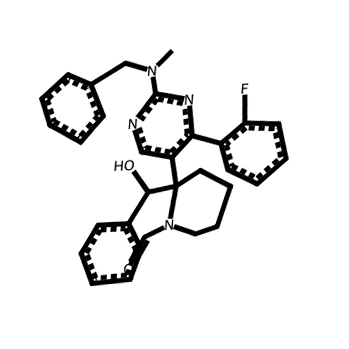 CN(Cc1ccccc1)c1ncc(C2(C(O)c3ccccc3)CCCCN2C=O)c(-c2ccccc2F)n1